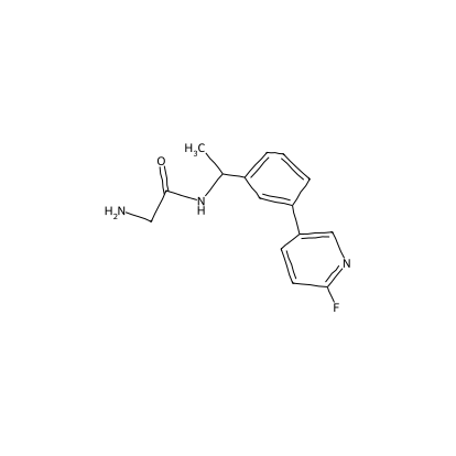 CC(NC(=O)CN)c1cccc(-c2ccc(F)nc2)c1